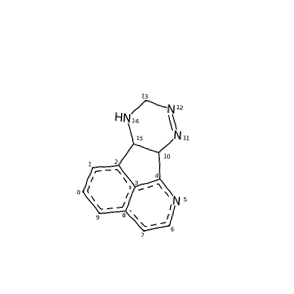 c1cc2c3c(nccc3c1)C1N=NCNC21